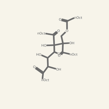 CCCCCCCCC(=O)OCC(O)(C(=O)CCCCCCCC)C(O)(C(=O)CCCCCCCC)C(O)C(O)C(O)C(=O)CCCCCCCC